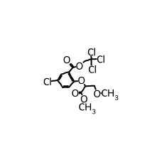 COCC(Oc1ccc(Cl)cc1C(=O)OCC(Cl)(Cl)Cl)C(=O)OC